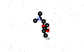 N#Cc1ccc(-c2ccc3c(c2)C2(c4ccccc4Oc4ccccc42)c2cc(-c4cccc(-c5cc(-c6ccccc6)nc(-c6ccccc6)n5)c4)ccc2-3)cc1